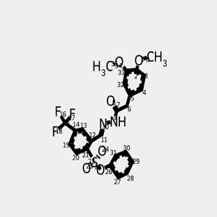 COc1ccc(CC(=O)NN=Cc2cc(C(F)(F)F)ccc2S(=O)(=O)Oc2ccccc2)cc1OC